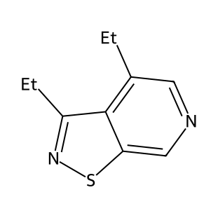 CCc1cncc2snc(CC)c12